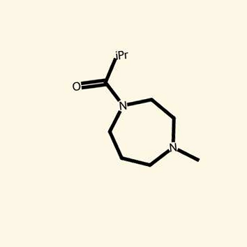 CC(C)C(=O)N1CCCN(C)CC1